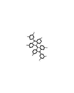 Cc1cc(C)cc(N2c3cc(C)ccc3C(=C3c4ccc(C)cc4N(c4cc(C)cc(C)c4)c4cc(C)ccc43)c3ccc(C)cc32)c1